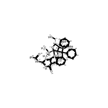 COO[C@]1(OC)[C@@H](CO)O[C@](n2cnc3c(=O)[nH]c(NC(=O)C(C)C)nc32)([SiH](C)C)[C@@]1(OC(C)(C)C)C(c1ccccc1)(c1ccccc1)c1ccccc1